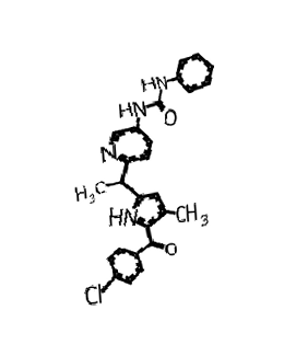 Cc1cc(C(C)c2ccc(NC(=O)Nc3ccccc3)cn2)[nH]c1C(=O)c1ccc(Cl)cc1